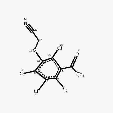 CC(=O)c1c(F)c(Cl)c(Cl)c(OCC#N)c1Cl